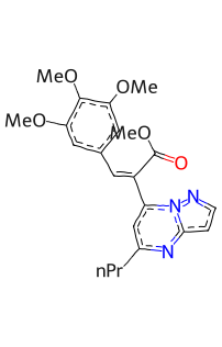 CCCc1cc(C(=Cc2cc(OC)c(OC)c(OC)c2)C(=O)OC)n2nccc2n1